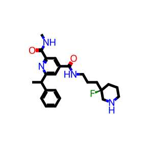 CNC(=O)c1cc(C(=O)NCCC[C@]2(F)CCCNC2)cc(C(C)c2ccccc2)n1